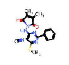 [C-]#[N+]c1c(NN2C(=O)C(C)=C(C)C2=O)nc(-c2ccccc2)nc1SC